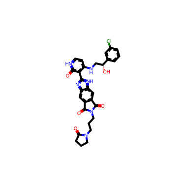 O=C1CCCN1CCCN1C(=O)c2cc3nc(-c4c(NC[C@@H](O)c5cccc(Cl)c5)cc[nH]c4=O)[nH]c3cc2C1=O